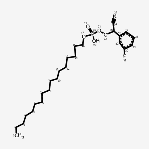 CCCCCCCCCCCCCCCCCOP(=O)(O)OOC(C#N)c1cccc(F)c1